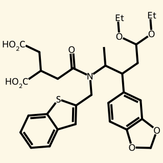 CCOC(CC(c1ccc2c(c1)OCO2)C(C)N(Cc1cc2ccccc2s1)C(=O)CC(CC(=O)O)C(=O)O)OCC